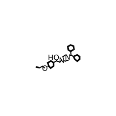 C=CCOc1ccc(C(O)CN2CCN(C(c3ccccc3)c3ccccc3)CC2)cc1